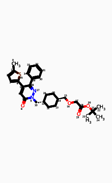 Cc1ccc(-c2cc(=O)n(C[C@H]3CC[C@H](COCC(=O)OC(C)(C)C)CC3)nc2-c2ccccc2)s1